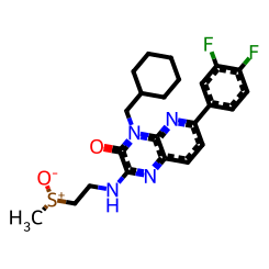 C[S+]([O-])CCNc1nc2ccc(-c3ccc(F)c(F)c3)nc2n(CC2CCCCC2)c1=O